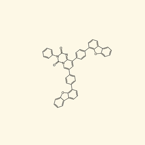 O=c1nc2c(-c3ccc(-c4cccc5c4oc4ccccc45)cc3)cc(-c3ccc(-c4cccc5c4oc4ccccc45)cc3)cn2c(=O)n1-c1ccccc1